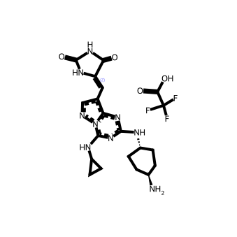 N[C@H]1CC[C@H](Nc2nc(NC3CC3)n3ncc(/C=C4\NC(=O)NC4=O)c3n2)CC1.O=C(O)C(F)(F)F